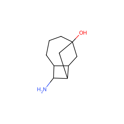 NC1C2CCCC3(O)CC1C2C3